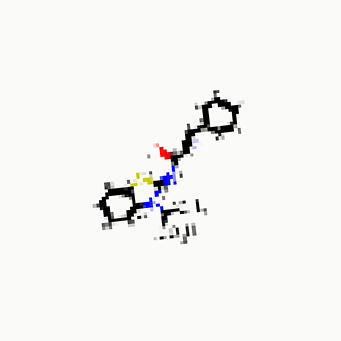 CC(C(=O)O)n1c(=NC(=O)/C=C/c2ccccc2)sc2ccccc21